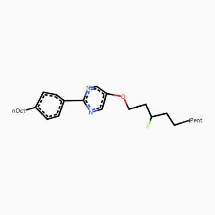 CCCCCCCCc1ccc(-c2ncc(OCCC(F)CCC(C)CCC)cn2)cc1